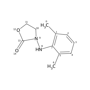 Cc1cccc(C)c1NN1CCOC1=O